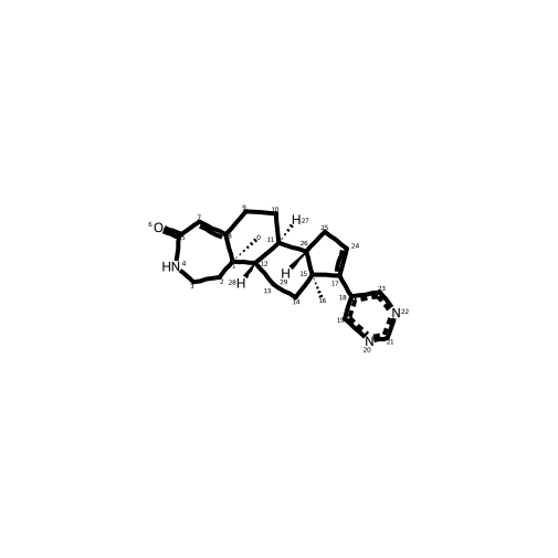 C[C@]12CCNC(=O)C=C1CC[C@@H]1[C@@H]2CC[C@]2(C)C(c3cncnc3)=CC[C@@H]12